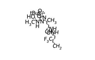 C=C/C=C(\C=C/CNC(=O)N/C(C=C)=C/C=C(\C)c1nc(N[C@@H](C)CO)cc(C2(S(=O)(=O)C(C)(C)C)CC2)n1)C(F)(F)F